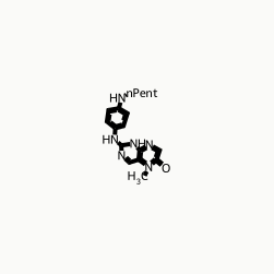 CCCCCNc1ccc(NC2N=Cc3c(ncc(=O)n3C)N2)cc1